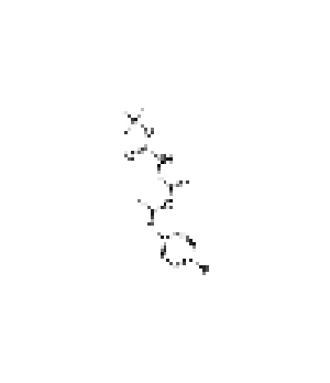 C=C(CNC(=O)OC(C)(C)C)OC(C)Oc1ccc(F)cc1